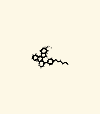 CCCCCCc1ccc(C2=CCOc3c2c2c(c4ccccc34)-c3ccc(N)cc3C2)cc1